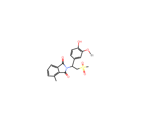 CCOc1cc(C(CS(C)(=O)=O)N2C(=O)c3cccc(C)c3C2=O)ccc1O